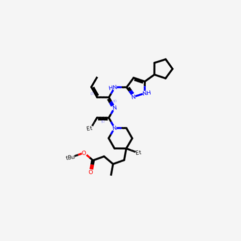 C\C=C/C(=N\C(=C\CC)N1CCC(CC)(CC(C)CC(=O)OC(C)(C)C)CC1)Nc1cc(C2CCCC2)[nH]n1